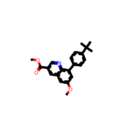 COC(=O)c1cnc2c(-c3ccc(C(C)(C)C)cc3)cc(OC)cc2c1